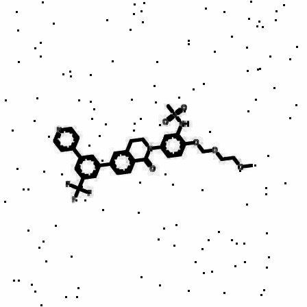 COCCOCOc1ccc(N2CCc3cc(-c4cc(-c5ccncc5)cc(C(F)(F)F)c4)ccc3C2=O)cc1NS(C)(=O)=O